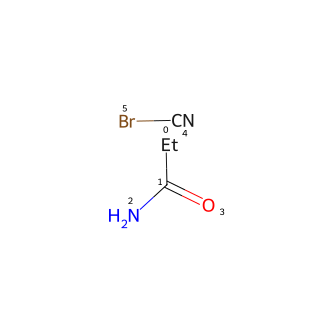 CCC(N)=O.N#CBr